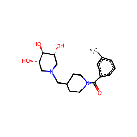 O=C(c1cccc(C(F)(F)F)c1)N1CCC(CN2C[C@@H](O)[C@H](O)[C@@H](O)C2)CC1